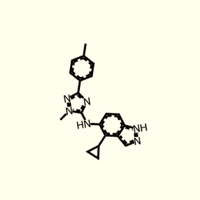 Cc1ccc(-c2nc(Nc3ccc4[nH]ncc4c3C3CC3)n(C)n2)cc1